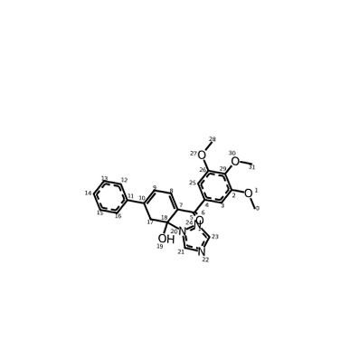 COc1cc(C(=O)C2=CC=C(c3ccccc3)CC2(O)n2cncn2)cc(OC)c1OC